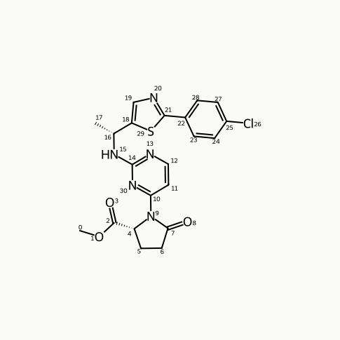 COC(=O)[C@H]1CCC(=O)N1c1ccnc(N[C@H](C)c2cnc(-c3ccc(Cl)cc3)s2)n1